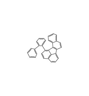 c1ccc(-c2ccccc2-c2ccc3cccc4c3c2-c2c-4ccc3ccccc23)cc1